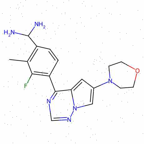 Cc1c(C(N)N)ccc(-c2ncnn3cc(N4CCOCC4)cc23)c1F